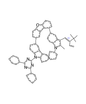 C=C/C(=C\c1c(C)n(-c2ccccc2)c2ccc(-c3cccc4oc5ccc(-c6ccc7c(c6)c6ccccc6n7-c6nc(-c7ccccc7)nc(-c7ccccc7)n6)cc5c34)cc12)C(C)(C)C